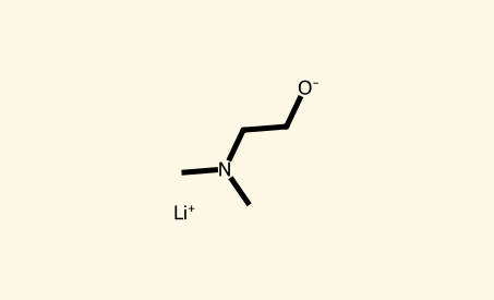 CN(C)CC[O-].[Li+]